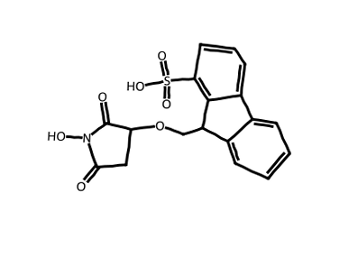 O=C1CC(OCC2c3ccccc3-c3cccc(S(=O)(=O)O)c32)C(=O)N1O